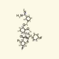 C/N=C(\N)c1cccc(COc2cccc(C3SC(c4ccc(F)cc4)=NN3C(=O)c3c(F)cc(F)cc3F)c2OC)c1